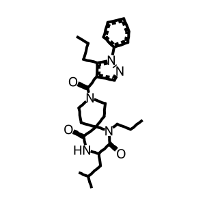 CCCc1c(C(=O)N2CCC3(CC2)C(=O)NC(CC(C)C)C(=O)N3CCC)cnn1-c1ccccc1